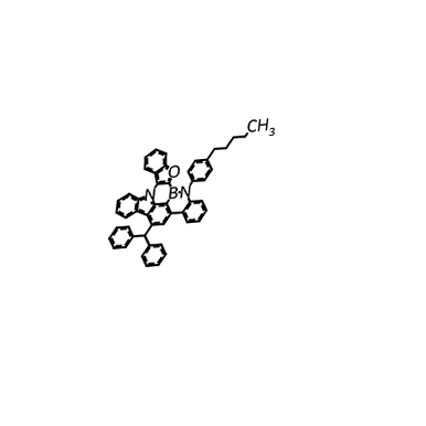 CCCCCc1ccc(N2B3c4oc5ccccc5c4-n4c5ccccc5c5c(C(c6ccccc6)c6ccccc6)cc(c3c54)-c3ccccc32)cc1